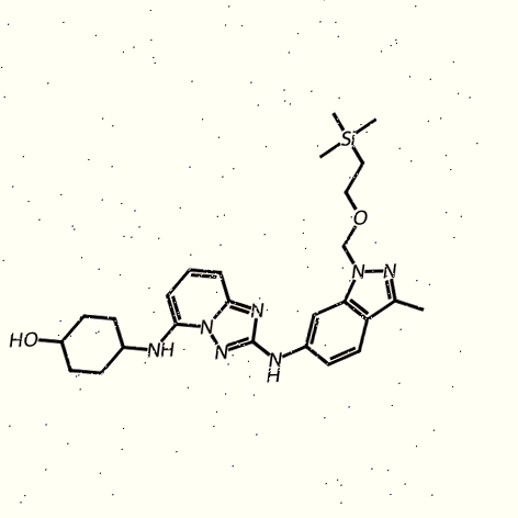 Cc1nn(COCC[Si](C)(C)C)c2cc(Nc3nc4cccc(NC5CCC(O)CC5)n4n3)ccc12